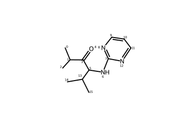 CC(C)C(=O)C(Nc1ncccn1)C(C)C